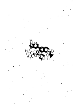 Cc1c[nH]c2ncc(-c3cc4c(c([C@@H]5COCCN5C(=O)OC(C)(C)C)c3)CN(C(=O)C3(O)CC3)CC4)cc12